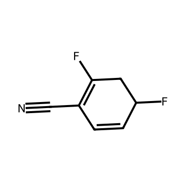 N#CC1=C(F)CC(F)C=C1